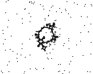 CO[C@H]1/C=C\C=C(/C)C(=O)NC2=CC(=O)C(N3CCC3)=C(C[C@@H](C)C[C@H](OC)[C@H](O)[C@@H](C)/C=C(\C)[C@@H]1OC(C)=O)C2=O